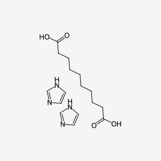 O=C(O)CCCCCCCCC(=O)O.c1c[nH]cn1.c1c[nH]cn1